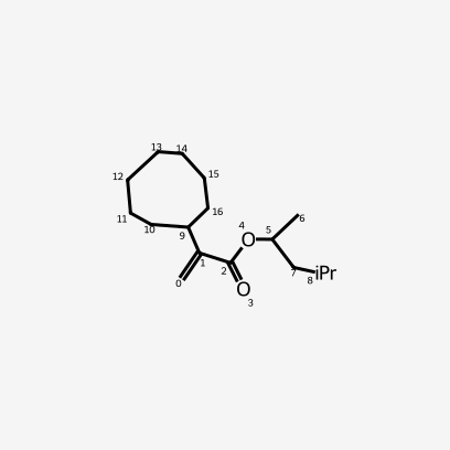 C=C(C(=O)OC(C)CC(C)C)C1CCCCCCC1